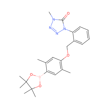 Cc1cc(B2OC(C)(C)C(C)(C)O2)c(C)cc1OCc1ccccc1-n1nnn(C)c1=O